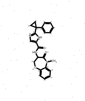 CN1C(=O)C(NC(=O)c2cnc(C3(c4ccccc4)CC3)[nH]2)COc2ccccc21